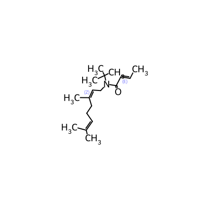 C/C=C/C(=O)N(C/C=C(/C)CCC=C(C)C)C(C)(C)C